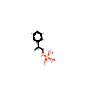 CC(COP(=O)(O)O)c1ccccc1